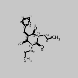 CCSN1C(=O)C(=Cc2ccco2)C(=O)N(SCC)C1=O